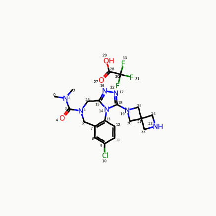 CN(C)C(=O)N1Cc2cc(Cl)ccc2-n2c(nnc2N2CC3(CNC3)C2)C1.O=C(O)C(F)(F)F